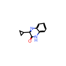 O=c1[nH]c2ccccc2nc1C1CC1